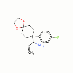 C=CC(N)C1(c2ccc(F)cc2)CCC2(CC1)OCCO2